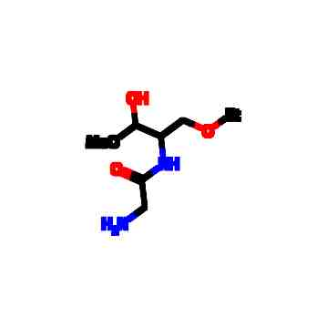 CCOCC(NC(=O)CN)C(O)OC